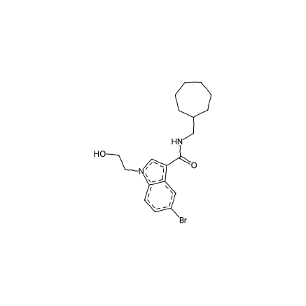 O=C(NCC1CCCCCC1)c1cn(CCO)c2ccc(Br)cc12